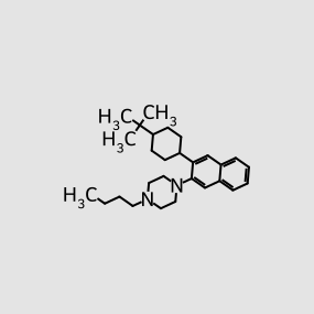 CCCCN1CCN(c2cc3ccccc3cc2C2CCC(C(C)(C)C)CC2)CC1